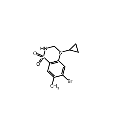 Cc1cc2c(cc1Br)N(C1CC1)CNS2(=O)=O